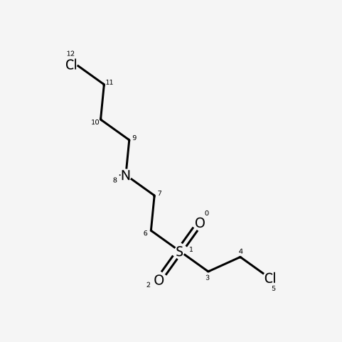 O=S(=O)(CCCl)CC[N]CCCCl